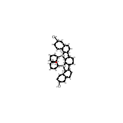 Clc1ccc2c(ccc3c4ccc5c6ccc7cc(Cl)ccc7c6n(-c6ccccc6)c5c4n(-c4ccccc4)c23)c1